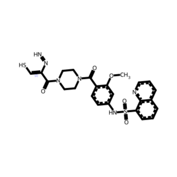 COc1cc(NS(=O)(=O)c2cccc3cccnc23)ccc1C(=O)N1CCN(C(=O)/C(=C/S)N=N)CC1